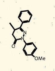 COc1ccc(N2N=C(c3ccccc3)C(C)CC2=O)cc1